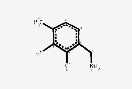 Cc1ccc(CN)c(Cl)c1F